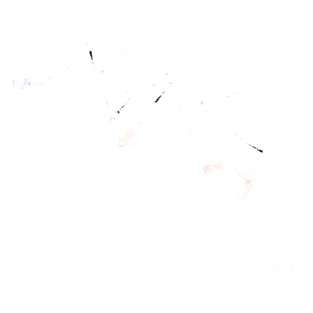 CC1(C)[C@@H](N)CC[C@]2(C)[C@H]3C(=O)C=C4[C@@H]5C[C@@](C)(C(=O)OCc6ccccc6)CC[C@]5(C)CC[C@@]4(C)[C@]3(C)CC[C@@H]12